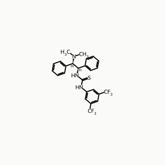 CN(C)[C@H](c1ccccc1)[C@H](NC(=S)Nc1cc(C(F)(F)F)cc(C(F)(F)F)c1)c1ccccc1